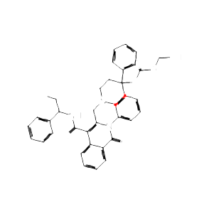 CCOC(=O)OC1(c2ccccc2)CCN(Cc2c(C(=O)NC(CC)c3ccccc3)c3ccccc3c(=O)n2-c2ccccc2)CC1